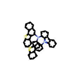 c1ccc(-n2c3ccccc3c3cccc(N(c4ccc5c(c4)sc4ccccc45)c4cc5ccccc5c5sc6ccccc6c45)c32)cc1